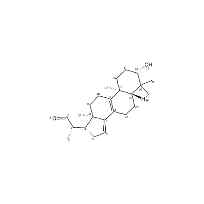 C[C@H](C=O)[C@H]1CC=C2C3=C(CC[C@@]21C)[C@@]1(C)CC[C@H](O)C(C)(C)[C@@H]1CC3